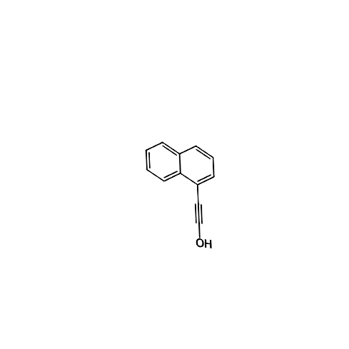 OC#Cc1cccc2ccccc12